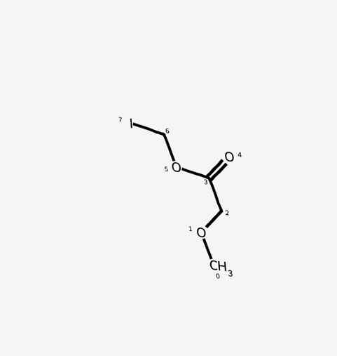 COCC(=O)OCI